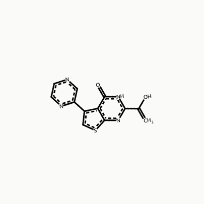 C=C(O)c1nc2scc(-c3cnccn3)c2c(=O)[nH]1